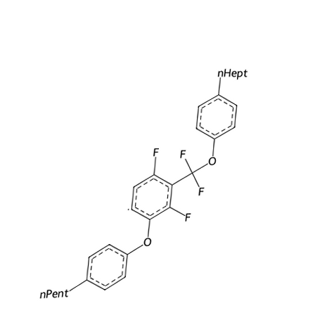 CCCCCCCc1ccc(OC(F)(F)c2c(F)c[c]c(Oc3ccc(CCCCC)cc3)c2F)cc1